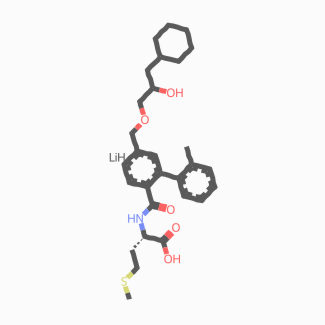 CSCC[C@H](NC(=O)c1ccc(COCC(O)CC2CCCCC2)cc1-c1ccccc1C)C(=O)O.[LiH]